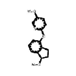 COc1ccc(Oc2cccc3c2CCC3OC)nc1